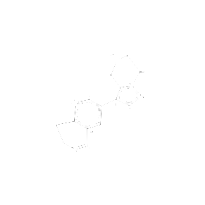 C1=NCCc2ncc(-c3cnn4c3COCC4)cc21